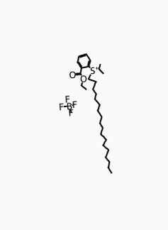 CCCCCCCCCCCCCCCCCC[S+](c1ccccc1C(=O)OCC)C(C)C.F[B-](F)(F)F